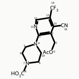 CC(=O)OCc1c(N2CCN(C(=O)O)CC2)ncc(C(F)(F)F)c1C#N